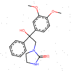 COc1ccc(C(O)(CN2CCNC2=O)c2ccccc2)cc1OC